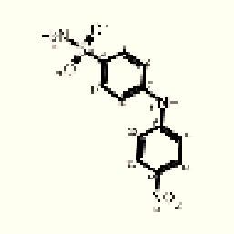 NS(=O)(=O)c1ccc(Nc2ccc([N+](=O)[O-])cc2)cc1